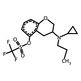 CCCN(C1CC1)C1COc2cccc(OS(=O)(=O)C(F)(F)F)c2C1